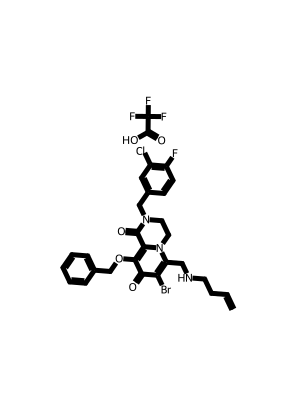 C=CCCNCc1c(Br)c(=O)c(OCc2ccccc2)c2n1CCN(Cc1ccc(F)c(Cl)c1)C2=O.O=C(O)C(F)(F)F